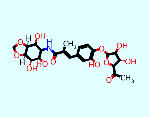 CC(=O)C1OC(Oc2ccc(/C=C(\C)C(=O)NC3C(O)[C@@H](O)[C@H]4OCO[C@H]4C3O)cc2O)C(O)[C@@H]1O